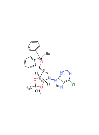 CC1(C)O[C@@H]2[C@@H](CO[Si](c3ccccc3)(c3ccccc3)C(C)(C)C)C[C@@H](n3cnc4c(Cl)ncnc43)[C@@H]2O1